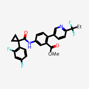 CCC(F)(F)c1ccc(-c2ccc(NC(=O)C3(c4ccc(F)cc4F)CC3)cc2C(=O)OC)cn1